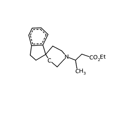 CCOC(=O)CC(C)N1CCC2(CCc3ccccc32)CC1